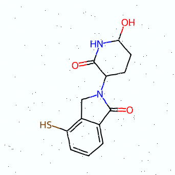 O=C1NC(O)CCC1N1Cc2c(S)cccc2C1=O